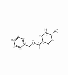 CC(=O)[C@@H]1CC[C@@H](NOCc2ccccc2)CN1